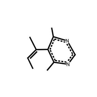 C/C=C(/C)c1c(C)ncnc1C